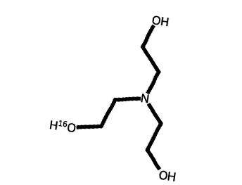 OCCN(CCO)CC[16OH]